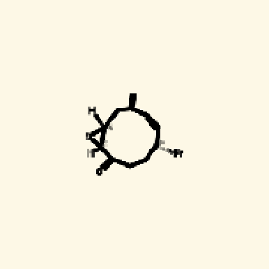 C=C1C=C[C@H](C(C)C)CCC(=O)[C@@H]2O[C@@H]2C1